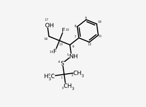 CC(C)(C)SNC(c1ccccc1)C(F)(F)CO